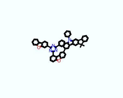 CC1(C)c2ccccc2-c2cc3c(cc21)c1cc(-c2ccc4oc5cccc(-c6nc(-c7ccccc7)nc(-c7ccc8c(c7)oc7ccccc78)n6)c5c4c2)ccc1n3-c1ccccc1